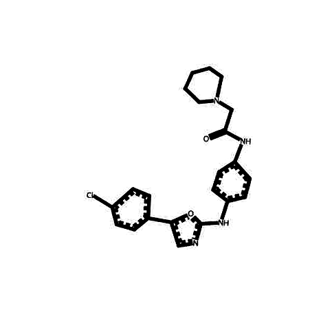 O=C(CN1CCCCC1)Nc1ccc(Nc2ncc(-c3ccc(Cl)cc3)o2)cc1